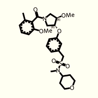 COc1cccc(C)c1C(=O)N1C[C@@H](OC)[C@H](Oc2cccc(CS(=O)(=O)N(C)C3CCOCC3)c2)C1